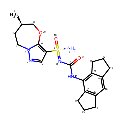 C[C@@H]1CCn2ncc([S@@](N)(=O)=NC(=O)Nc3c4c(cc5c3CCC5)CCC4)c2OC1